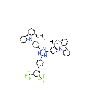 Cc1cccc2c3ccccc3n(-c3ccc(-c4nc(-c5ccc(-c6cc(C(F)(F)F)cc(C(F)(F)F)c6)cc5)nc(-c5ccc(-n6c7ccccc7c7cccc(C)c76)cc5)n4)cc3)c12